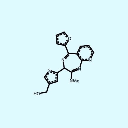 CNC1=Nc2ncccc2C(c2ccco2)=NC1c1cc(CO)cs1